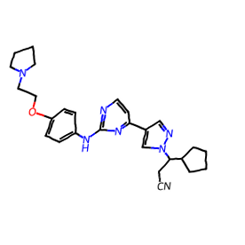 N#CCC(C1CCCC1)n1cc(-c2ccnc(Nc3ccc(OCCN4CCCC4)cc3)n2)cn1